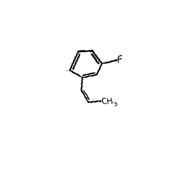 C/C=C\c1[c]ccc(F)c1